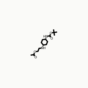 CC(=O)OCCN[C@H]1CC[C@@H](NC(=O)OC(C)(C)C)CC1